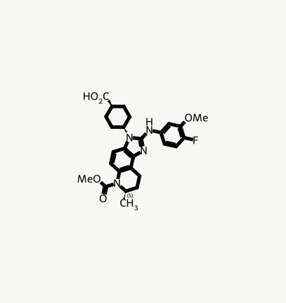 COC(=O)N1c2ccc3c(nc(Nc4ccc(F)c(OC)c4)n3[C@H]3CC[C@H](C(=O)O)CC3)c2CC[C@@H]1C